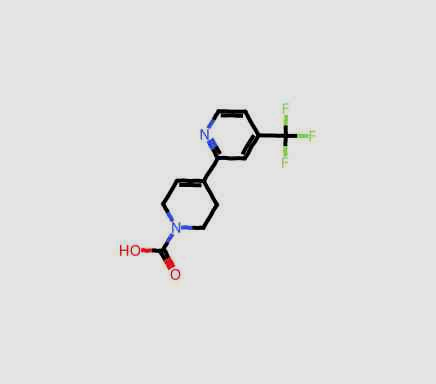 O=C(O)N1CC=C(c2cc(C(F)(F)F)ccn2)CC1